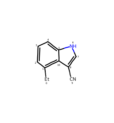 CCc1cccc2[nH]cc(C#N)c12